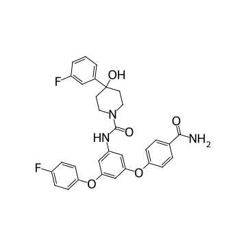 NC(=O)c1ccc(Oc2cc(NC(=O)N3CCC(O)(c4cccc(F)c4)CC3)cc(Oc3ccc(F)cc3)c2)cc1